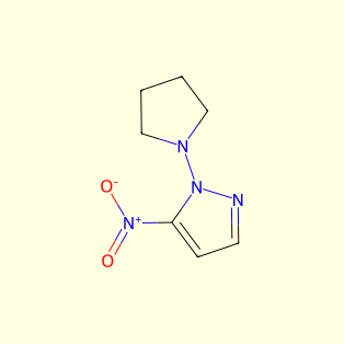 O=[N+]([O-])c1ccnn1N1CCCC1